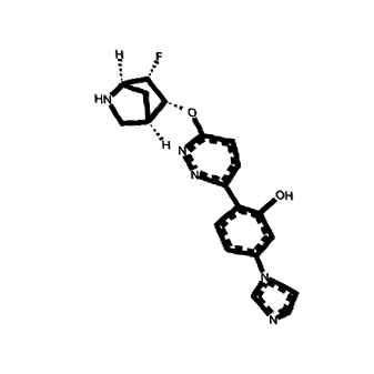 Oc1cc(-n2ccnc2)ccc1-c1ccc(O[C@@H]2[C@H]3CN[C@H](C3)[C@@H]2F)nn1